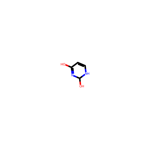 O[C]1N=C(O)C=CN1